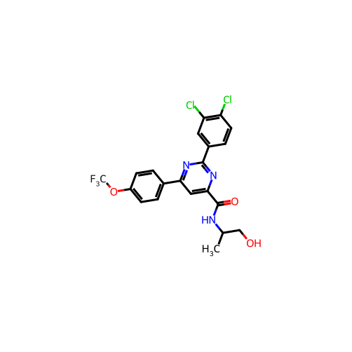 CC(CO)NC(=O)c1cc(-c2ccc(OC(F)(F)F)cc2)nc(-c2ccc(Cl)c(Cl)c2)n1